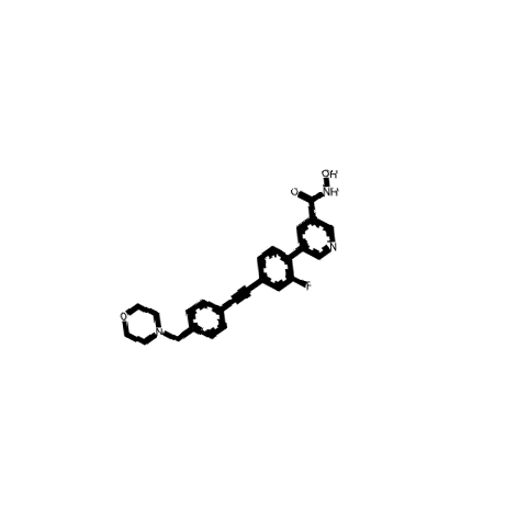 O=C(NO)c1cncc(-c2ccc(C#Cc3ccc(CN4CCOCC4)cc3)cc2F)c1